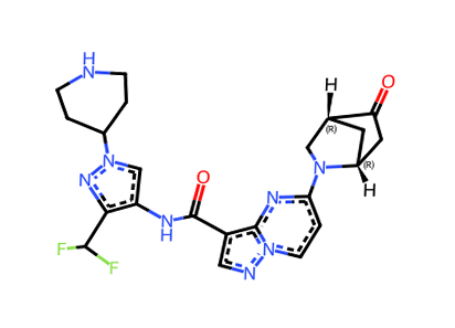 O=C(Nc1cn(C2CCNCC2)nc1C(F)F)c1cnn2ccc(N3C[C@H]4C[C@@H]3CC4=O)nc12